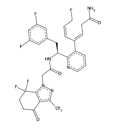 NC(=O)C/C=C(\C=C/CF)c1cccnc1[C@H](Cc1cc(F)cc(F)c1)NC(=O)Cn1nc(C(F)(F)F)c2c1C(F)(F)CCC2=O